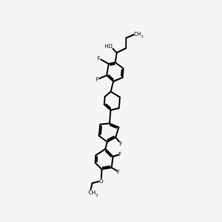 CCCC(O)c1ccc(C2CC=C(c3ccc(-c4ccc(OCC)c(F)c4F)c(F)c3)CC2)c(F)c1F